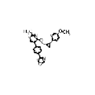 COc1ccc([C@H]2C[C@@H]2COc2nc(C)ncc2-c2ccc(-c3ncon3)cc2)nc1